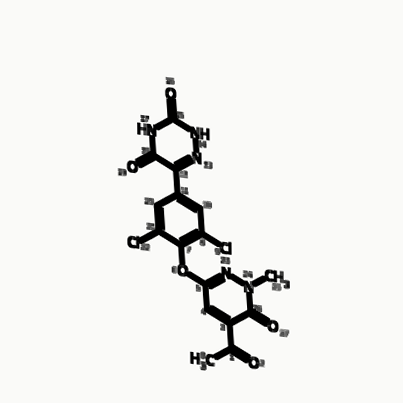 CC(=O)c1cc(Oc2c(Cl)cc(-c3n[nH]c(=O)[nH]c3=O)cc2Cl)nn(C)c1=O